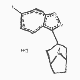 CN1C2CCC1CC(c1noc3cc(F)ccc13)C2.Cl